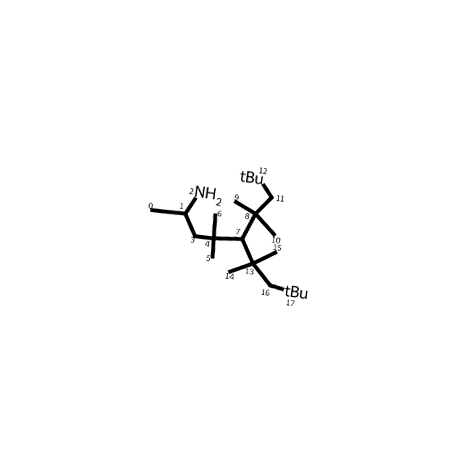 CC(N)CC(C)(C)C(C(C)(C)CC(C)(C)C)C(C)(C)CC(C)(C)C